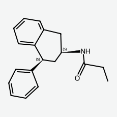 CCC(=O)N[C@@H]1Cc2ccccc2[C@H](c2ccccc2)C1